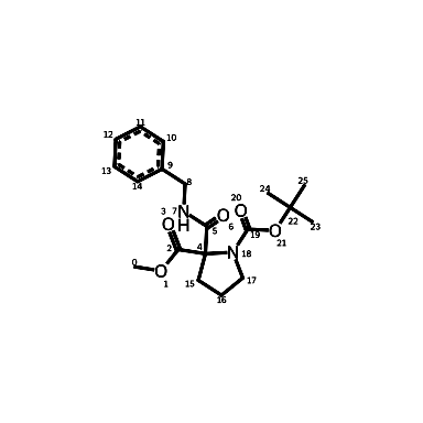 COC(=O)C1(C(=O)NCc2ccccc2)CCCN1C(=O)OC(C)(C)C